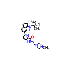 C=C(C#N)CNc1c(OC)ccc2ccc(-c3cccc(C(=O)NCCN4CCN(C)CC4)n3)cc12